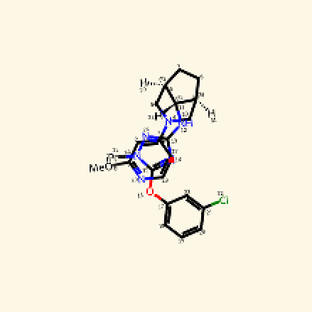 COc1cc(N2C[C@H]3CC[C@@H](C2)[C@@H]3Nc2nc(Oc3cccc(Cl)c3)n(C(C)C)n2)ccn1